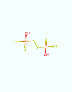 OP(=S)(S)SS[P@](O)(=S)S